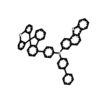 c1ccc(-c2ccc(N(c3ccc(-c4cccc5c4-c4ccccc4C54c5ccccc5Oc5ccccc54)cc3)c3ccc4c(ccc5c6ccccc6sc45)c3)cc2)cc1